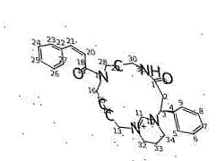 O=C1C[C@@H](c2ccccc2)N2C=[N+](CCCCN(C(=O)/C=C\c3ccccc3)CCCN1)CCC2